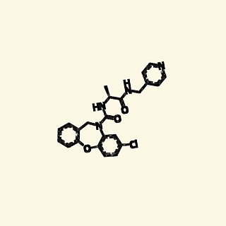 C[C@H](NC(=O)N1Cc2ccccc2Oc2ccc(Cl)cc21)C(=O)NCc1ccncc1